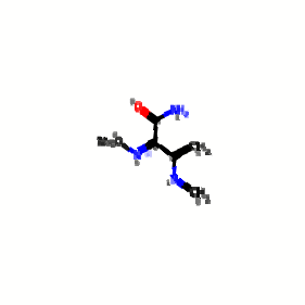 C=NC(=C)/C(=N/OC)C(N)=O